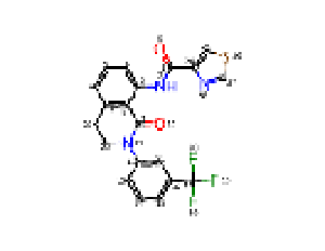 O=C(Nc1cccc2c1C(=O)N(c1cccc(C(F)(F)F)c1)CC2)c1cscn1